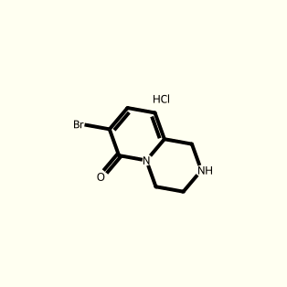 Cl.O=c1c(Br)ccc2n1CCNC2